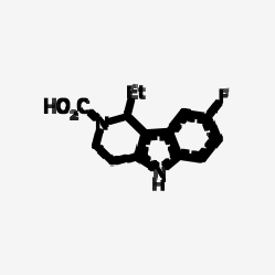 CCC1c2c([nH]c3ccc(F)cc23)CCN1C(=O)O